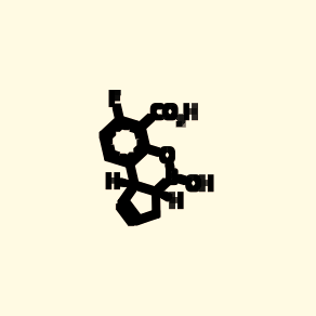 O=C(O)c1c(F)ccc2c1OB(O)[C@@H]1CC#C[C@H]21